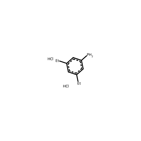 CCc1cc(P)cc(CC)c1.Cl.Cl